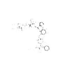 CCC(=O)N(c1ccccc1)C1CCN(Cc2ccccc2OC(CCN(C)C(=O)OCC[Si](C)(C)C)c2cccs2)CC1